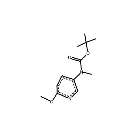 COc1ccc(N(C)C(=O)OC(C)(C)C)cn1